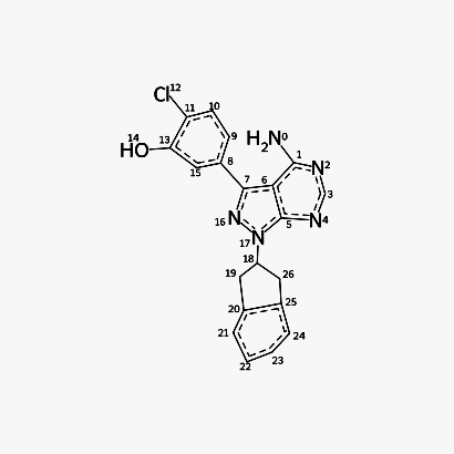 Nc1ncnc2c1c(-c1ccc(Cl)c(O)c1)nn2C1Cc2ccccc2C1